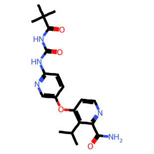 CC(C)c1c(Oc2ccc(NC(=O)NC(=O)C(C)(C)C)nc2)ccnc1C(N)=O